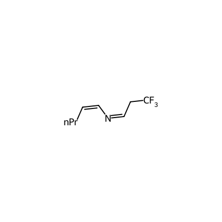 CCC/C=C\N=C/CC(F)(F)F